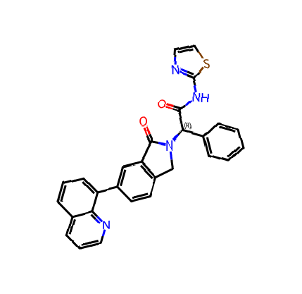 O=C(Nc1nccs1)[C@@H](c1ccccc1)N1Cc2ccc(-c3cccc4cccnc34)cc2C1=O